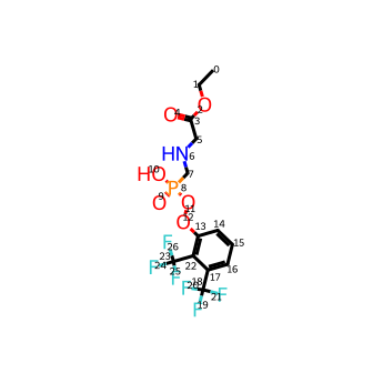 CCOC(=O)CNCP(=O)(O)OOc1cccc(C(F)(F)F)c1C(F)(F)F